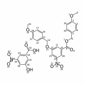 COc1ccc(COC(=O)c2cc(OCc3ccc(OC)cc3)cc([N+](=O)[O-])c2)cc1.O=C(O)c1cc(O)cc([N+](=O)[O-])c1